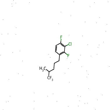 CC(CCCc1ccc(F)c(Cl)c1F)C(F)(F)F